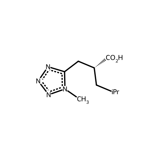 CC(C)C[C@H](Cc1nnnn1C)C(=O)O